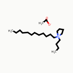 CC(=O)[O-].CCCCCCCCCCCC[N+]1(CCCC)CCCC1